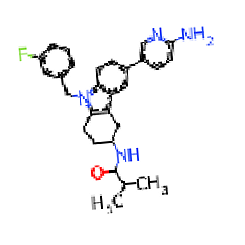 CC(C)C(=O)NC1CCc2c(c3cc(-c4ccc(N)nc4)ccc3n2Cc2cccc(F)c2)C1